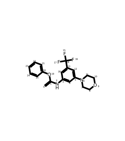 C=C(Nc1cc(N2CCOCC2)cc(C(F)(F)F)c1)Oc1ccccc1